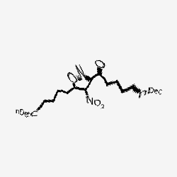 CCCCCCCCCCCCCCC(=O)c1noc(CCCCCCCCCCCCCC)c1[N+](=O)[O-]